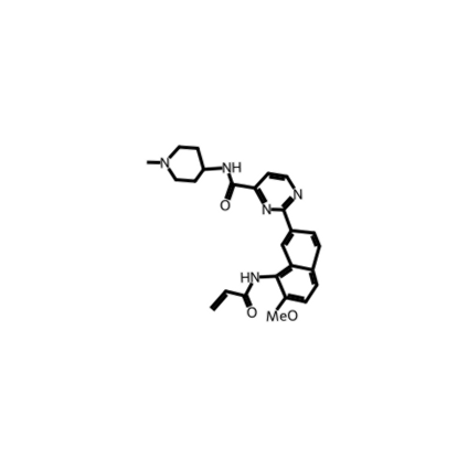 C=CC(=O)Nc1c(OC)ccc2ccc(-c3nccc(C(=O)NC4CCN(C)CC4)n3)cc12